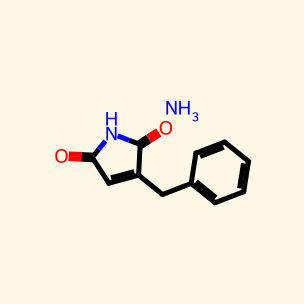 N.O=C1C=C(Cc2ccccc2)C(=O)N1